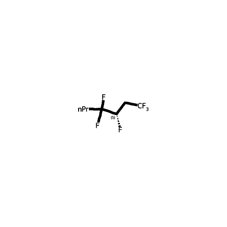 [CH2]CCC(F)(F)[C@@H](F)CC(F)(F)F